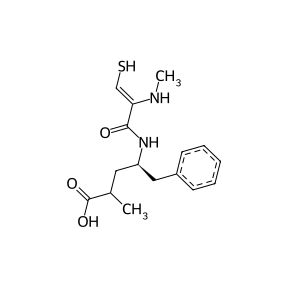 CN/C(=C\S)C(=O)N[C@@H](Cc1ccccc1)CC(C)C(=O)O